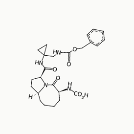 O=C(O)N[C@H]1CCCC[C@H]2CC[C@@H](C(=O)NC3(CNC(=O)OCc4ccccc4)CC3)N2C1=O